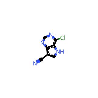 N#Cc1c[nH]c2c(Cl)ncnc12